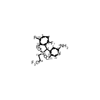 Nc1cc(C(c2c(F)ccc(F)c2F)S(=O)(=O)CCC(F)(F)F)c(Cl)cn1